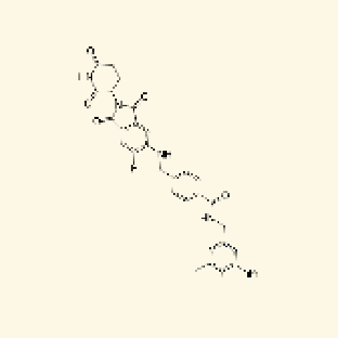 Cc1cc(CNC(=O)c2ccc(CNc3cc4c(cc3F)C(=O)N(C3CCC(=O)NC3=O)C4=O)cc2)cc(C(C)C)c1I